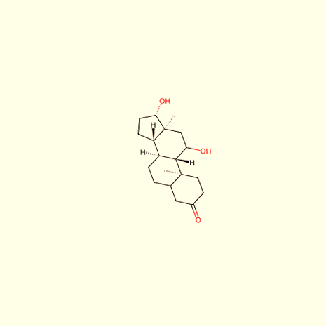 C[C@]12CC(O)[C@H]3[C@@H](CCC4CC(=O)CC[C@@]43C)[C@@H]1CC[C@@H]2O